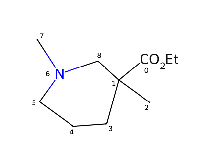 CCOC(=O)C1(C)CCCN(C)C1